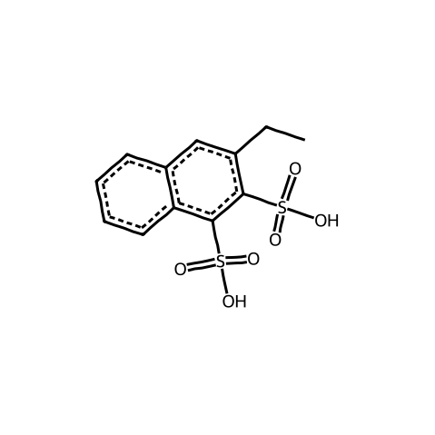 CCc1cc2ccccc2c(S(=O)(=O)O)c1S(=O)(=O)O